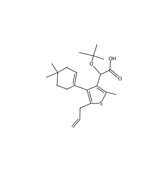 C=CCc1sc(C)c(C(OC(C)(C)C)C(=O)O)c1C1=CCC(C)(C)CC1